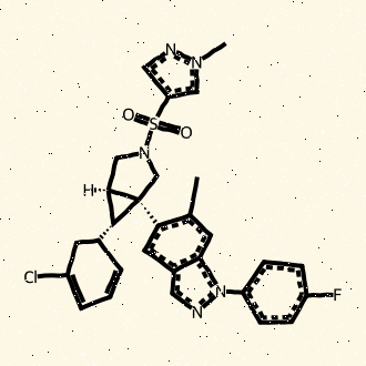 Cc1cc2c(cnn2-c2ccc(F)cc2)cc1[C@@]12CN(S(=O)(=O)c3cnn(C)c3)C[C@@H]1[C@H]2C1C=CC=C(Cl)C1